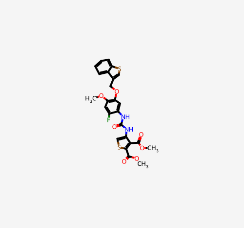 COC(=O)c1scc(NC(=O)Nc2cc(OCc3csc4ccccc34)c(OC)cc2F)c1C(=O)OC